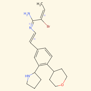 C\C=C(Br)/C(N)=N\C=C\c1ccc(C2CCOCC2)c(C2CCCN2)c1